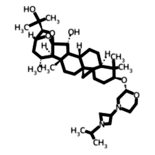 CC(C)N1CC(N2CCO[C@@H](O[C@H]3CCC45C[C@]46CC[C@@]4(C)C([C@@H](O)C78O[C@H](C[C@@H](C)[C@@H]74)[C@@H](C(C)(C)O)O8)[C@@H]6CC[C@H]5C3(C)C)C2)C1